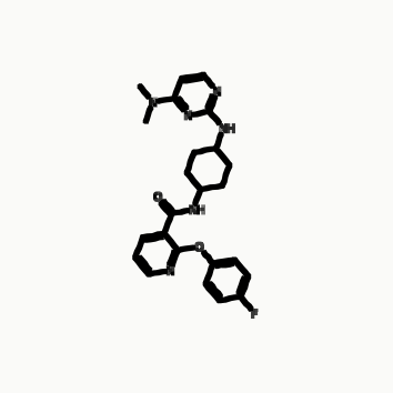 CN(C)c1ccnc(NC2CCC(NC(=O)c3cccnc3Oc3ccc(F)cc3)CC2)n1